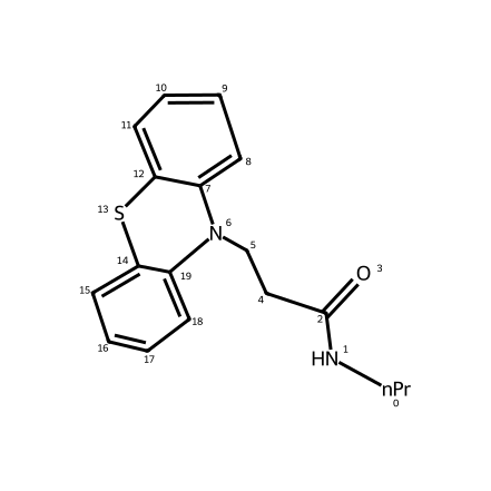 CCCNC(=O)CCN1c2ccccc2Sc2ccccc21